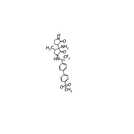 CC1C[C@H](N[C@@H](c2ccc(-c3ccc(S(C)(=O)=O)cc3)cc2)C(F)(F)F)C(=O)C1(N)C1CCNC1=O